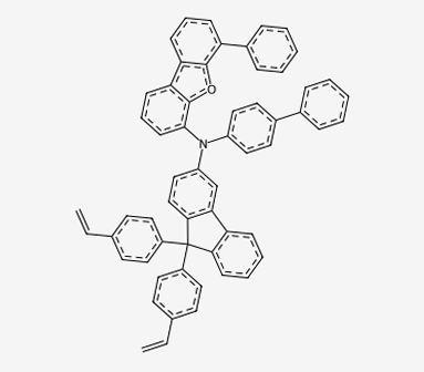 C=Cc1ccc(C2(c3ccc(C=C)cc3)c3ccccc3-c3cc(N(c4ccc(-c5ccccc5)cc4)c4cccc5c4oc4c(-c6ccccc6)cccc45)ccc32)cc1